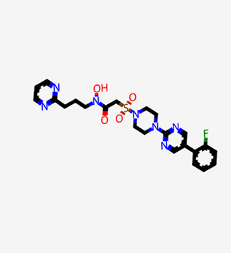 O=C(CS(=O)(=O)N1CCN(c2ncc(-c3ccccc3F)cn2)CC1)N(O)CCCc1ncccn1